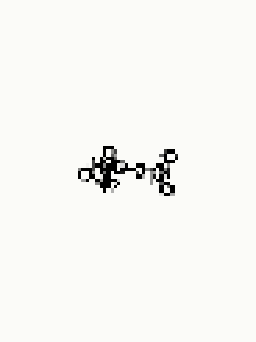 c1ccc(-c2cc(-c3ccc(-c4ccc5c(c4)c4ccccc4n5-c4nc5ccccc5c5nc6ccccc6n45)cc3)nc(-c3ccccc3)n2)cc1